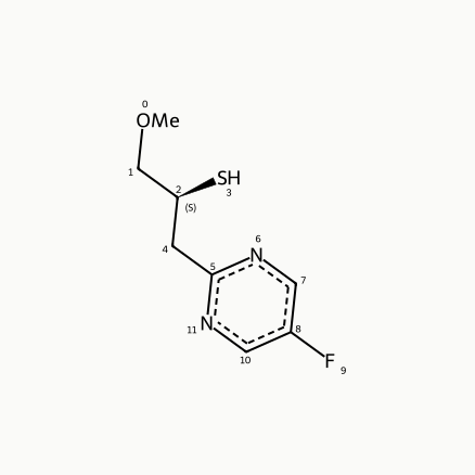 COC[C@@H](S)Cc1ncc(F)cn1